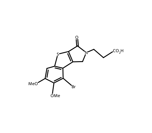 COc1cc2sc3c(c2c(Br)c1OC)CN(CCC(=O)O)C3=O